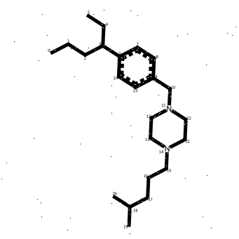 CCCC(CC)c1ccc(CN2CCN(CCCC(C)C)CC2)cc1